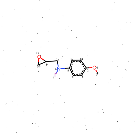 COc1ccc(N(I)CC2CO2)cc1